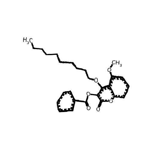 CCCCCCCCCCOc1c(OC(=O)c2ccccc2)c(=O)oc2cccc(OC)c12